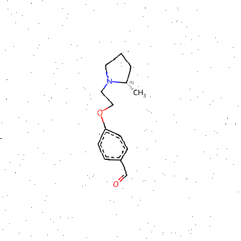 C[C@H]1CCCN1CCOc1ccc(C=O)cc1